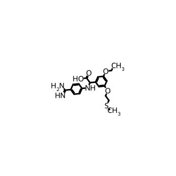 CCOc1cc(OCCSC)cc(C(Nc2ccc(C(=N)N)cc2)C(=O)O)c1